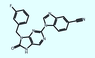 N#Cc1ccc2c(c1)ncn2-c1ncc2[nH]c(=O)n(Cc3cccc(F)c3)c2n1